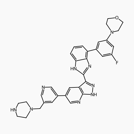 Fc1cc(-c2cccc3[nH]c(-c4n[nH]c5ncc(-c6cncc(CN7CCNCC7)c6)cc45)nc23)cc(N2CCOCC2)c1